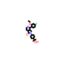 CCOc1cc(F)ccc1-c1nccc2c1CN(c1ccc(C(C)(C)O)cc1)C2=O